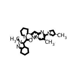 Cc1cn2nc([C@@H]3CCCCN3C(=O)C3C4CCCCC4=NN3C)cc2nc1N1CC[C@H](C)C1